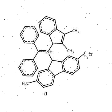 CC1=C(C)[CH]([Zr+2](=[C](c2ccccc2)c2ccccc2)[CH]2c3cc(C)ccc3-c3ccc(C)cc32)c2ccccc21.[Cl-].[Cl-]